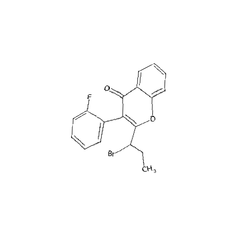 CCC(Br)c1oc2ccccc2c(=O)c1-c1ccccc1F